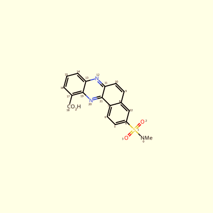 CNS(=O)(=O)c1ccc2c(ccc3nc4cccc(C(=O)O)c4nc32)c1